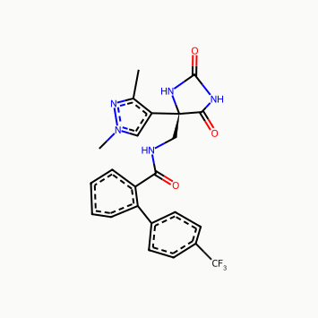 Cc1nn(C)cc1[C@]1(CNC(=O)c2ccccc2-c2ccc(C(F)(F)F)cc2)NC(=O)NC1=O